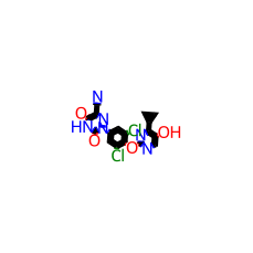 N#Cc1nn(-c2cc(Cl)c(Oc3ncc(O)c(C4CC4)n3)c(Cl)c2)c(=O)[nH]c1=O